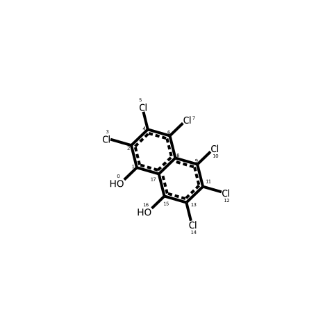 Oc1c(Cl)c(Cl)c(Cl)c2c(Cl)c(Cl)c(Cl)c(O)c12